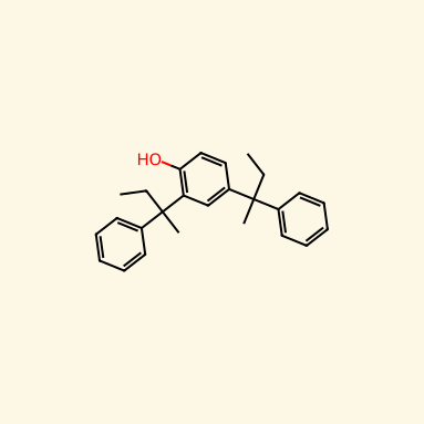 CCC(C)(c1ccccc1)c1ccc(O)c(C(C)(CC)c2ccccc2)c1